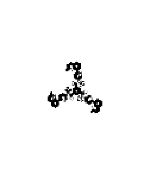 Cc1ccc2cccc(-c3ccc(N(C(=O)c4cc(C(=O)N(c5ccc(-c6cccc7ccc(C)nc67)nc5)S(C)(C)C)cc(C(=O)N(c5ccc(-c6cccc7ccc(C)nc67)nc5)S(C)(C)C)c4)S(C)(C)C)cn3)c2n1